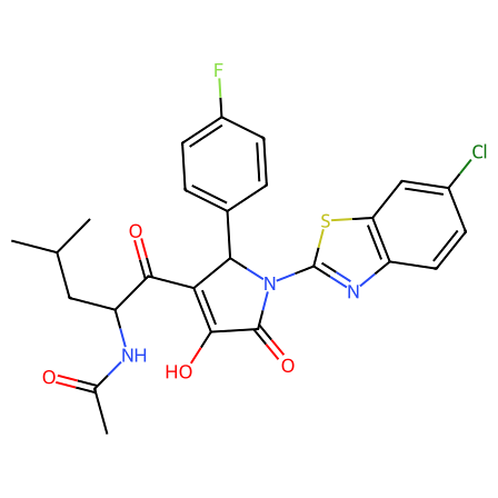 CC(=O)NC(CC(C)C)C(=O)C1=C(O)C(=O)N(c2nc3ccc(Cl)cc3s2)C1c1ccc(F)cc1